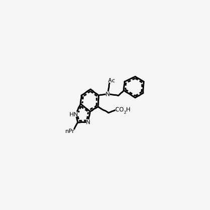 CCCc1nc2c(CC(=O)O)c(N(Cc3ccccc3)C(C)=O)ccc2[nH]1